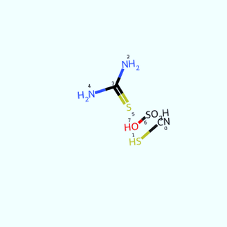 N#CS.NC(N)=S.O=S(=O)(O)O